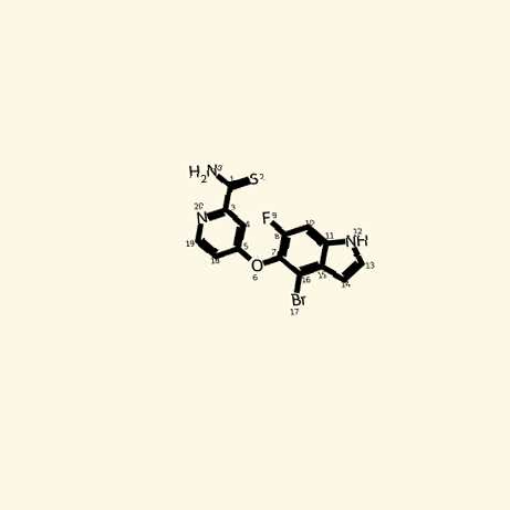 NC(=S)c1cc(Oc2c(F)cc3[nH]ccc3c2Br)ccn1